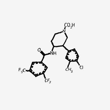 Cc1cc(C2CN(C(=O)O)CCC2NC(=O)c2cc(C(F)(F)F)cc(C(F)(F)F)c2)ccc1Cl